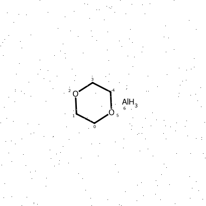 C1COCCO1.[AlH3]